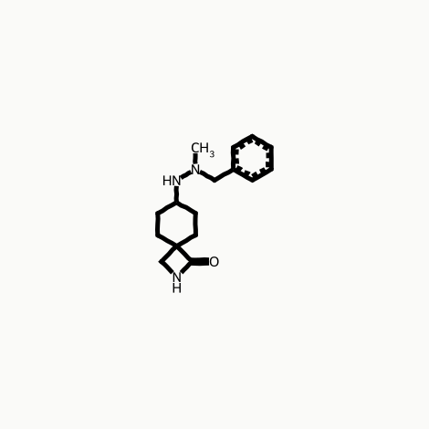 CN(Cc1ccccc1)NC1CCC2(CC1)CNC2=O